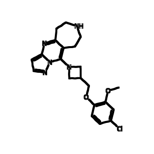 COc1cc(Cl)ccc1OCC1CN(c2c3c(nc4ccnn24)CCNCC3)C1